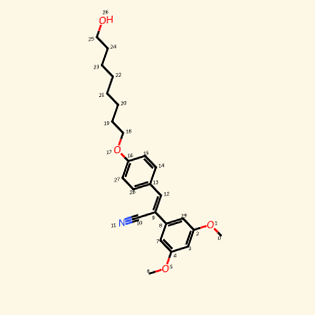 COc1cc(OC)cc(C(C#N)=Cc2ccc(OCCCCCCCCO)cc2)c1